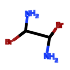 NC(Br)C(N)Br